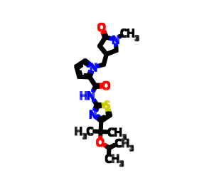 CC(C)OC(C)(C)c1csc(NC(=O)c2cccn2CC2CC(=O)N(C)C2)n1